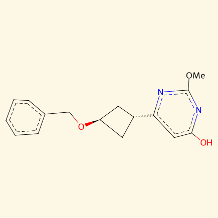 COc1nc(O)cc([C@H]2C[C@H](OCc3ccccc3)C2)n1